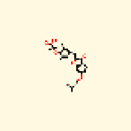 Cc1cc(/C=C2\Oc3cc(OCCC(C)C)ccc3C2=O)cc(C)c1OC(C)(C)C(=O)O